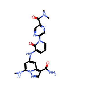 CNc1cc(Nc2cccn(-c3cnc(C(=O)N(C)C)cn3)c2=O)cc2c(C(N)=O)cnn12